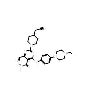 CCN1CCN(c2ccc(Nc3nc(N4CCC(CC#N)CC4)nc4cn[nH]c(=O)c34)cc2)CC1